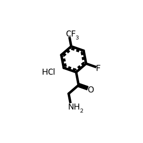 Cl.NCC(=O)c1ccc(C(F)(F)F)cc1F